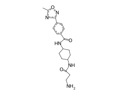 Cc1nc(-c2ccc(C(=O)NC3CCC(NC(=O)CCN)CC3)cc2)no1